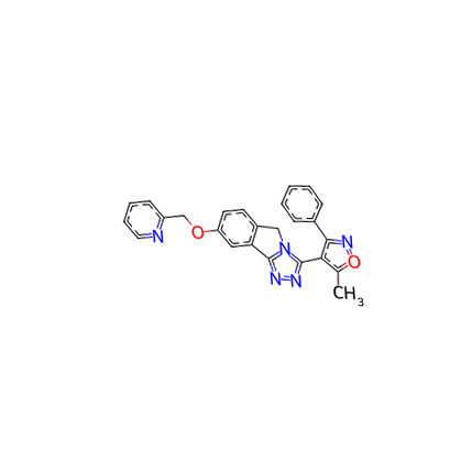 Cc1onc(-c2ccccc2)c1-c1nnc2n1Cc1ccc(OCc3ccccn3)cc1-2